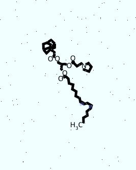 CCCCC/C=C\C/C=C\CCCCCCCC(=O)OCC(COC(=O)CCN1CCCC1)COC(=O)CC12CC3CC(CC(C3)C1)C2